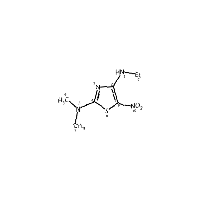 CCNc1nc(N(C)C)sc1[N+](=O)[O-]